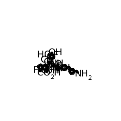 NCc1cccc(CN2CCC(N3CCN(C(=O)N[C@@H](C(=O)N[C@H]4Cc5ccc(F)c(C(=O)O)c5OB4O)c4cc(F)c(O)c(O)c4Cl)C3=O)CC2)c1